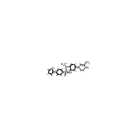 COc1ccc(N2CCN[C@H](C)C2)cc1NS(=O)(=O)c1ccc(-c2cccs2)cc1